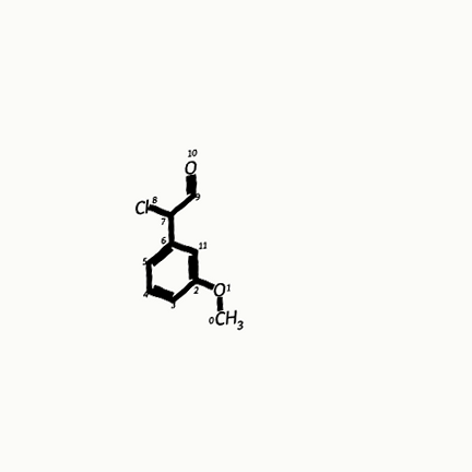 COc1cccc(C(Cl)C=O)c1